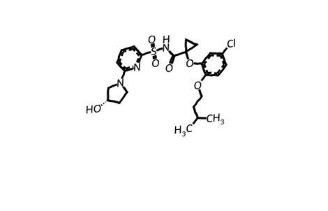 CC(C)CCOc1ccc(Cl)cc1OC1(C(=O)NS(=O)(=O)c2cccc(N3CC[C@H](O)C3)n2)CC1